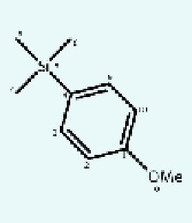 COc1ccc([Si](C)(C)C)cc1